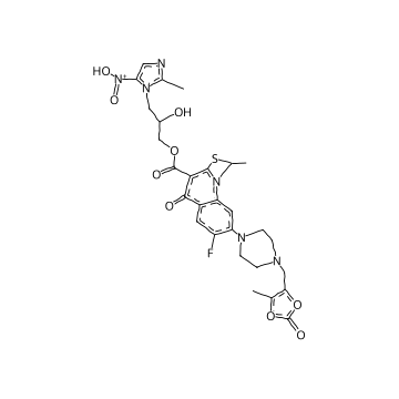 Cc1oc(=O)oc1CN1CCN(c2cc3c(cc2F)c(=O)c(C(=O)OCC(O)Cn2c([N+](=O)O)cnc2C)c2n3C(C)S2)CC1